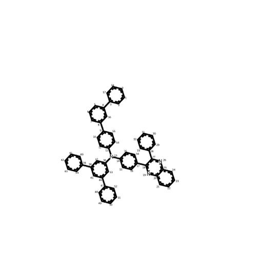 c1ccc(-c2cccc(-c3ccc(N(c4ccc(-c5nc6ccccc6nc5-c5ccccc5)cc4)c4cc(-c5ccccc5)cc(-c5ccccc5)c4)cc3)c2)cc1